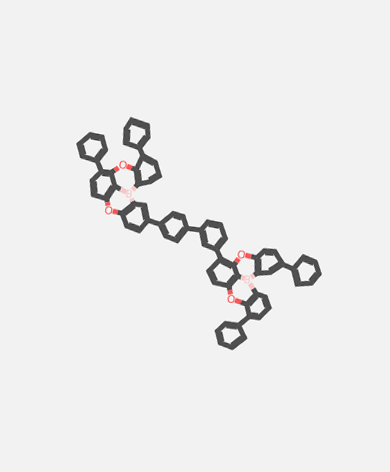 c1ccc(-c2ccc3c(c2)B2c4cccc(-c5ccccc5)c4Oc4ccc(-c5cccc(-c6ccc(-c7ccc8c(c7)B7c9cccc(-c%10ccccc%10)c9Oc9c(-c%10ccccc%10)ccc(c97)O8)cc6)c5)c(c42)O3)cc1